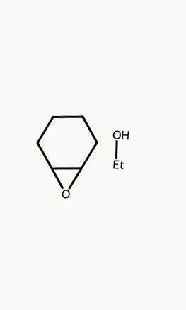 C1CCC2OC2C1.CCO